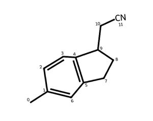 Cc1ccc2c(c1)CCC2CC#N